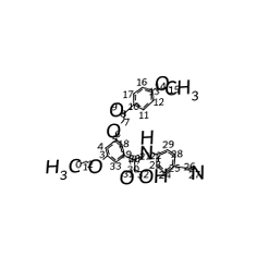 CCOc1cc(OCC(=O)c2ccc(OC)cc2)cc([C@@H](Nc2ccc(C#N)cc2)C(=O)O)c1